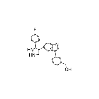 OCc1cccc(-c2cnc3ccc(C4=CNNC4c4ccc(F)cc4)cn23)c1